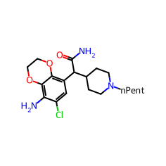 CCCCCN1CCC(C(C(N)=O)c2cc(Cl)c(N)c3c2OCCO3)CC1